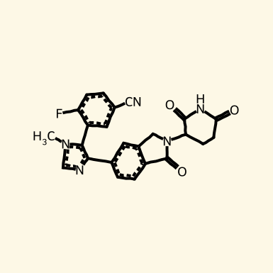 Cn1cnc(-c2ccc3c(c2)CN(C2CCC(=O)NC2=O)C3=O)c1-c1cc(C#N)ccc1F